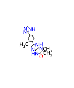 Cc1cc(-c2nnc[nH]2)ccc1-c1cnc2c(n1)NC(C)(C)C(=O)N2